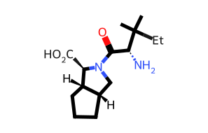 CCC(C)(C)[C@H](N)C(=O)N1C[C@@H]2CCC[C@@H]2[C@H]1C(=O)O